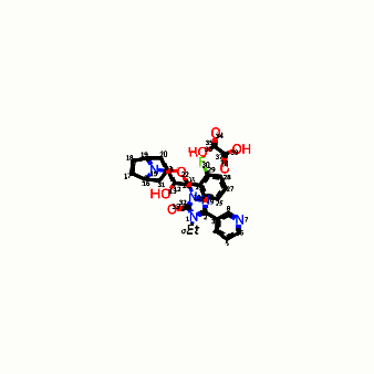 CCn1c(-c2cccnc2)nn(CC(O)CN2C3CCC2CC(OCc2ccccc2F)C3)c1=O.O=C(O)C(=O)O